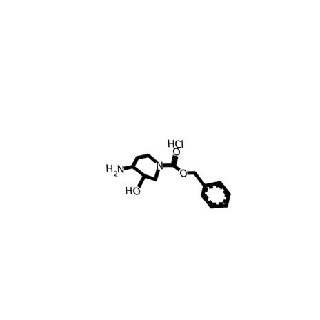 Cl.NC1CCN(C(=O)OCc2ccccc2)CC1O